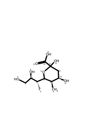 C[C@H]1C([C@H](F)[C@H](O)CO)OC(O)(C(=O)O)C[C@H]1O